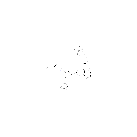 COC(=O)/C=C/CC[C@H](NC(=O)c1cnnn1C)C(=O)Nc1cccn(CC(=O)NC23CC4CC(C)(C2)C(C)(C4)C3)c1=O